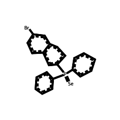 [Se]=P(c1ccccc1)(c1ccccc1)c1ccc2cc(Br)ccc2c1